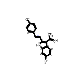 N=C(c1c(/C=C/c2ccc(Cl)cc2)[nH]c2cc(Br)ccc12)C(F)(F)F